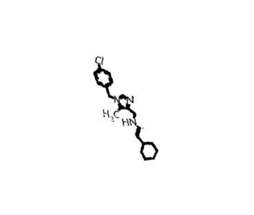 Cc1c(CN[C]=CC2CCCCC2)ncn1Cc1ccc(Cl)cc1